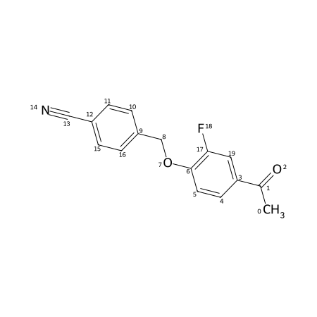 CC(=O)c1ccc(OCc2ccc(C#N)cc2)c(F)c1